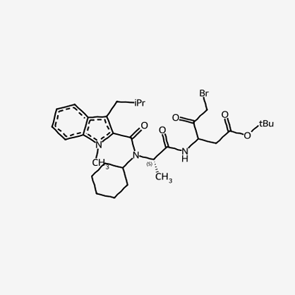 CC(C)Cc1c(C(=O)N(C2CCCCC2)[C@@H](C)C(=O)NC(CC(=O)OC(C)(C)C)C(=O)CBr)n(C)c2ccccc12